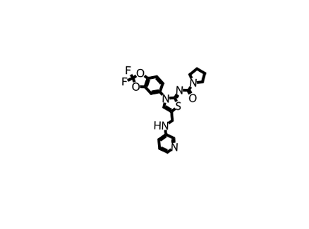 O=C(/N=c1\sc(CNc2cccnc2)cn1-c1ccc2c(c1)OC(F)(F)O2)N1CCCC1